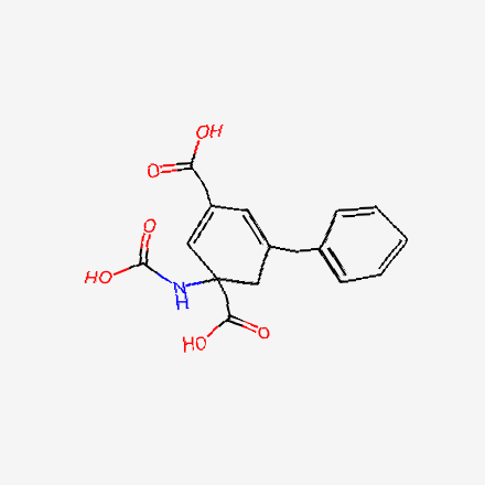 O=C(O)NC1(C(=O)O)C=C(C(=O)O)C=C(c2ccccc2)C1